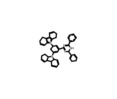 C1=CC2C3C=CCCC3N(C3=CC(C4=NC(C5=CCCC=C5)NC(c5ccccc5)=N4)=CC(n4c5c(c6c4CCC=C6)CCC=C5)C3)C2C=C1